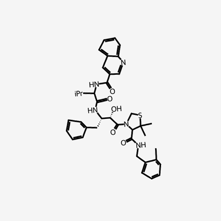 Cc1ccccc1CNC(=O)C1N(C(=O)[C@@H](O)[C@H](Cc2ccccc2)NC(=O)C(NC(=O)c2cnc3ccccc3c2)C(C)C)CSC1(C)C